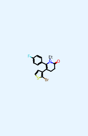 CCN1C(=O)CCC(c2ccsc2Br)=C1c1ccc(F)cc1